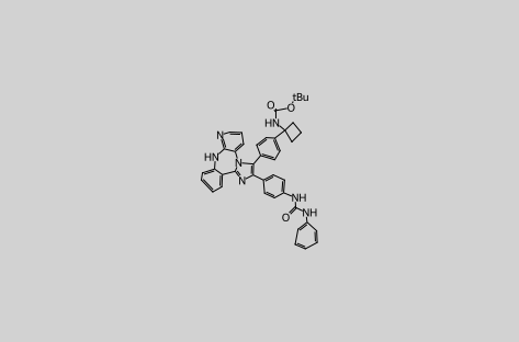 CC(C)(C)OC(=O)NC1(c2ccc(-c3c(-c4ccc(NC(=O)Nc5ccccc5)cc4)nc4n3-c3cccnc3Nc3ccccc3-4)cc2)CCC1